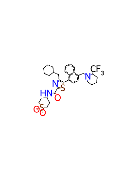 O=C(NC1CCS(=O)(=O)CC1)c1nc(CC2CCCCC2)c(-c2ccc(CN3CCCCC3C(F)(F)F)c3ccccc23)s1